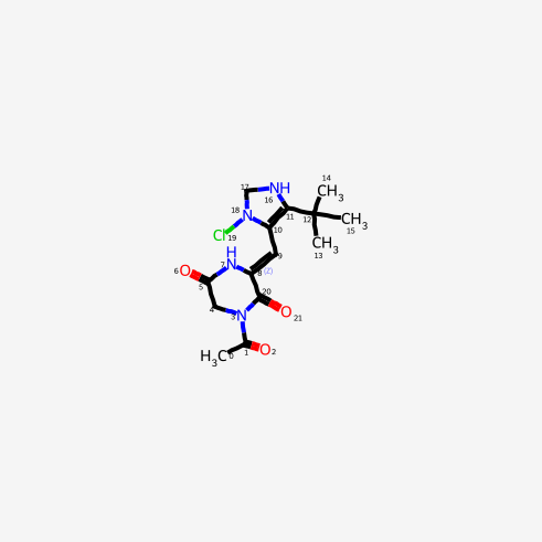 CC(=O)N1CC(=O)N/C(=C\C2=C(C(C)(C)C)NCN2Cl)C1=O